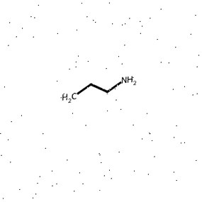 [CH2]C[CH]N